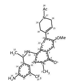 COc1cc2c(=O)n(C)nc(NC(C)c3cc(N)cc(C(F)(F)F)c3)c2cc1C1=CCN(C(C)=O)CC1